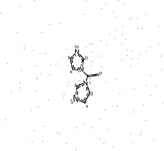 C=C(n1ccnc1)n1ccnc1